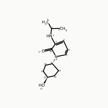 CC(C)Nc1cccn([C@H]2CC[C@H](O)CC2)c1=O